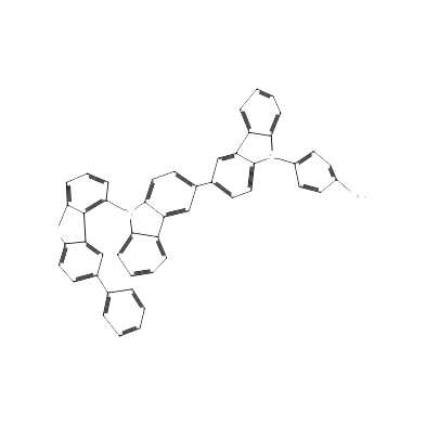 CCCCc1ccc(-n2c3ccccc3c3cc(-c4ccc5c(c4)c4ccccc4n5-c4cccc5sc6ccc(-c7ccccc7)cc6c45)ccc32)cc1